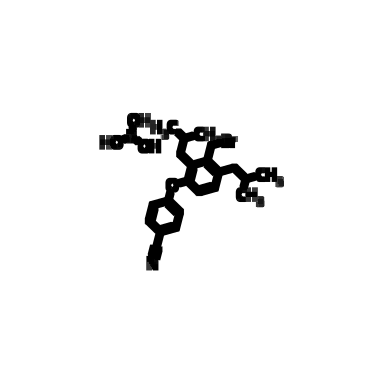 CC(C)Cc1ccc(Oc2ccc(C#N)cc2)c(CC(C)C)c1CBr.OB(O)O